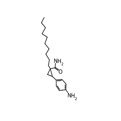 CCCCCCCCCCC1(C(N)=O)CC1c1ccc(N)cc1